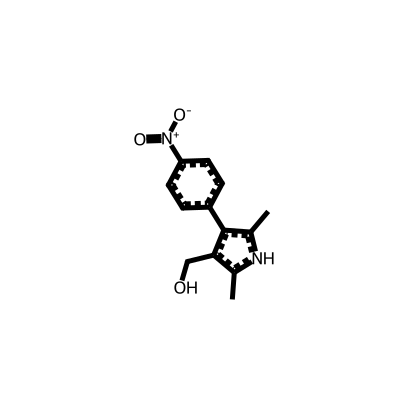 Cc1[nH]c(C)c(-c2ccc([N+](=O)[O-])cc2)c1CO